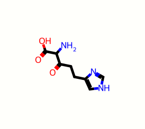 NC(C(=O)O)C(=O)CCc1c[nH]cn1